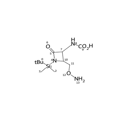 CC(C)(C)[Si](C)(C)N1C(=O)C(NC(=O)O)C1CON